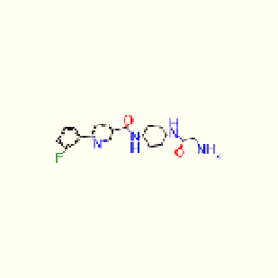 NCC(=O)NC1CCC(NC(=O)c2ccc(-c3cccc(F)c3)nc2)CC1